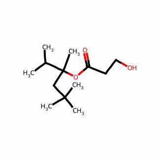 CC(C)C(C)(CC(C)(C)C)OC(=O)CCO